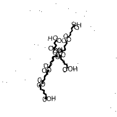 O=C(O)CCC(=O)O.O=C(O)CCCCC(=O)OC(=O)CCCC(=O)OC(=O)CCCCC(=O)O.O=C(O)CCCCC(=O)OC(=O)CCCC(=O)OC(=O)CCCCC(=O)O